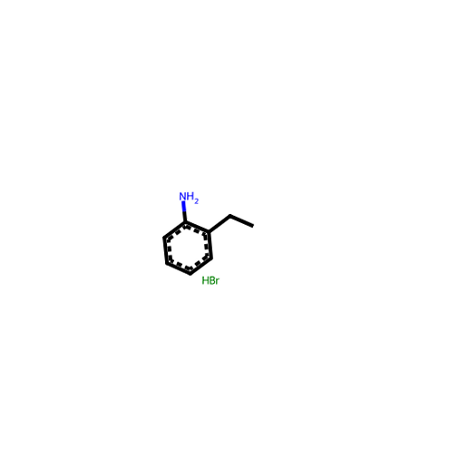 Br.CCc1ccccc1N